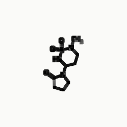 CN1CCC(N2CCCC2=O)NS1(=O)=O